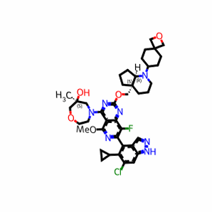 COc1nc(-c2c(C3CC3)c(Cl)cc3[nH]ncc23)c(F)c2nc(OC[C@]34CCC[C@H]3N(C3CCC5(CC3)COC5)CCC4)nc(N3CCOC[C@@](C)(O)C3)c12